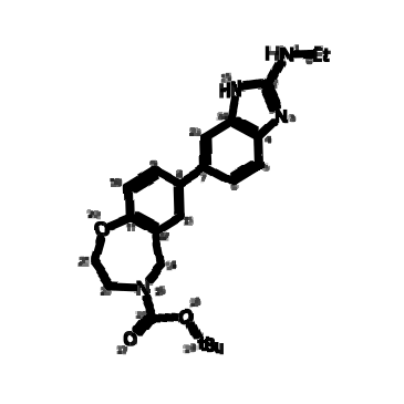 CCNc1nc2ccc(-c3ccc4c(c3)CN(C(=O)OC(C)(C)C)CCO4)cc2[nH]1